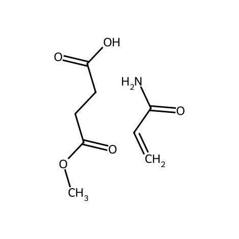 C=CC(N)=O.COC(=O)CCC(=O)O